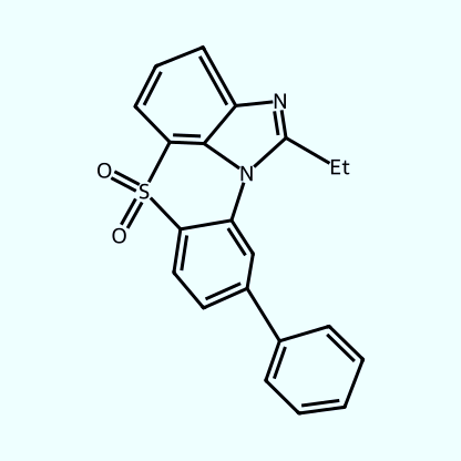 CCc1nc2cccc3c2n1-c1cc(-c2ccccc2)ccc1S3(=O)=O